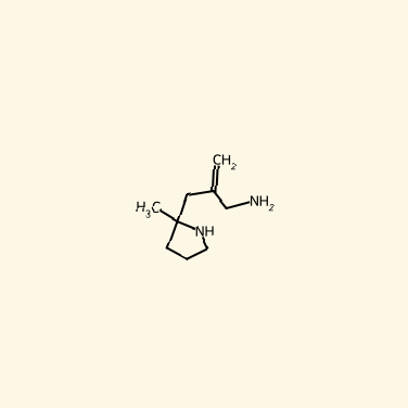 C=C(CN)CC1(C)CCCN1